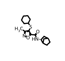 Cc1noc(C(=O)N[C@@H]2CC3CCC2C3)c1SC1CCCCC1